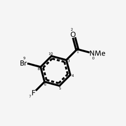 CNC(=O)c1ccc(F)c(Br)c1